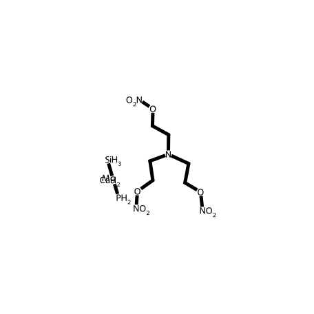 O=[N+]([O-])OCCN(CCO[N+](=O)[O-])CCO[N+](=O)[O-].[CaH2].[SiH3][Mg][PH2]